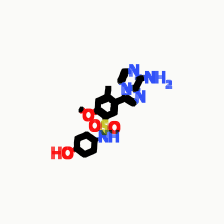 COc1cc(C)c(-c2cnc3c(N)nccn23)cc1S(=O)(=O)N[C@H]1CC[C@H](O)CC1